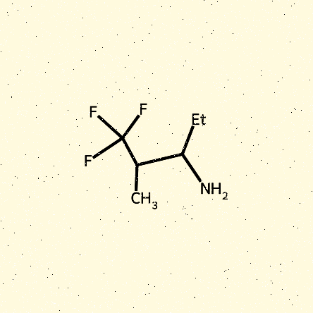 CCC(N)C(C)C(F)(F)F